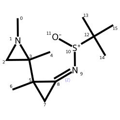 CN1CC1(C)C1(C)C/C1=N/[S+]([O-])C(C)(C)C